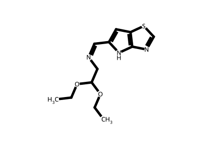 CCOC(C/N=C\c1cc2scnc2[nH]1)OCC